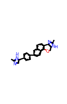 Cc1ncc(-c2ccc(-c3ccc4c5c(ccc4c3)-c3nc(C)[nH]c3CO5)cc2)[nH]1